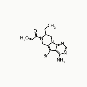 C=CC(=O)N1Cc2c(Br)c3c(N)ncnc3n2CC1CC